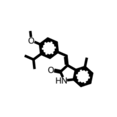 COc1ccc(C=C2C(=O)Nc3cccc(C)c32)cc1C(C)C